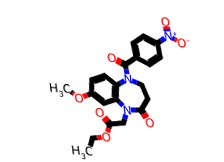 CCOC(=O)CN1C(=O)CCN(C(=O)c2ccc([N+](=O)[O-])cc2)c2ccc(OC)cc21